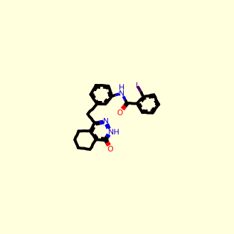 O=C(Nc1cccc(Cc2n[nH]c(=O)c3c2CCCC3)c1)c1ccccc1I